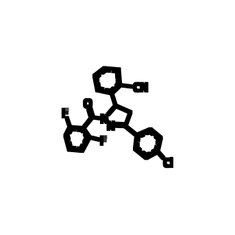 N#Cc1ccccc1C1CC(c2ccc(Cl)cc2)=NN1C(=O)c1c(F)cccc1F